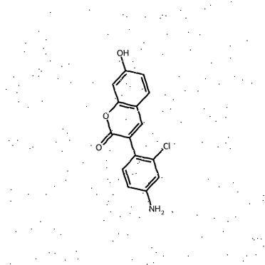 Nc1ccc(-c2cc3ccc(O)cc3oc2=O)c(Cl)c1